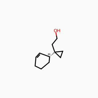 OCCC1([C@H]2C=CCCC2)CC1